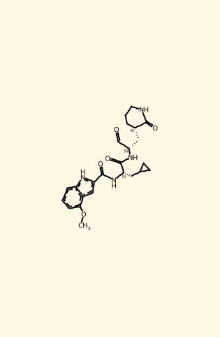 COc1cccc2[nH]c(C(=O)N[C@@H](CC3CC3)C(=O)N[C@H](C=O)C[C@@H]3CCCNC3=O)cc12